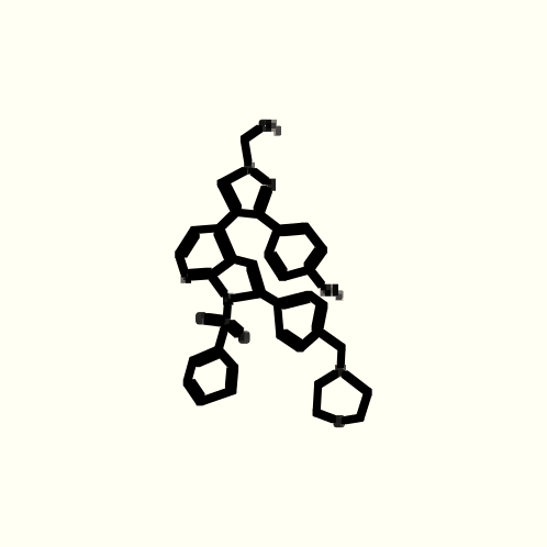 CCn1cc(-c2ccnc3c2cc(-c2ccc(CN4CCOCC4)cc2)n3S(=O)(=O)c2ccccc2)c(-c2ccc(N)cc2)n1